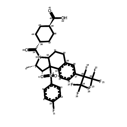 C[C@H]1CC2(S(=O)(=O)c3ccc(F)cc3)c3ccc(C(F)(C(F)(F)F)C(F)(F)F)cc3CCC2N1C(=O)[C@H]1CC[C@H](C(=O)O)CC1